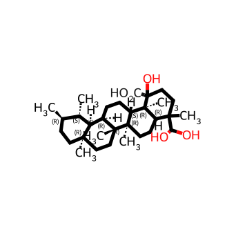 C[C@@H]1[C@H]2[C@H]3CC[C@@H]4[C@]5(C)[C@@H](CC[C@@]4(C)[C@]3(C)CC[C@@]2(C)CC[C@H]1C)C(C)(C(O)O)CCC5(O)C(=O)O